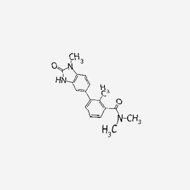 Cc1c(C(=O)N(C)C)cccc1-c1ccc2c(c1)[nH]c(=O)n2C